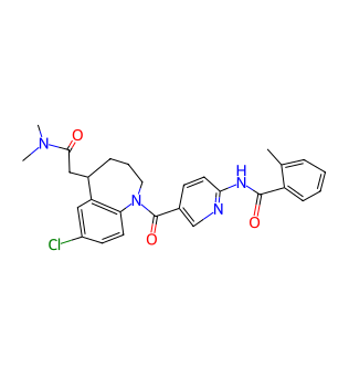 Cc1ccccc1C(=O)Nc1ccc(C(=O)N2CCCC(CC(=O)N(C)C)c3cc(Cl)ccc32)cn1